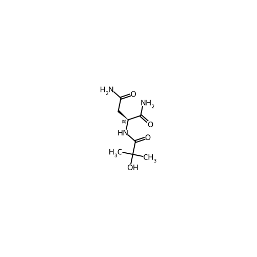 CC(C)(O)C(=O)N[C@@H](CC(N)=O)C(N)=O